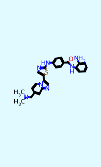 CN(C)Cc1ccn2c(-c3cnc(Nc4ccc(C(=O)Nc5ccccc5N)cc4)s3)cnc2c1